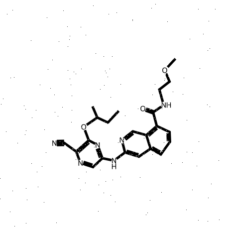 CCC(C)Oc1nc(Nc2cc3cccc(C(=O)NCCOC)c3cn2)cnc1C#N